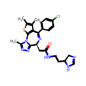 Cc1sc2c(c1C)C(c1ccc(Cl)cc1)=N[C@@H](CC(=O)NCCC1CN=CN1)c1nnc(C)n1-2